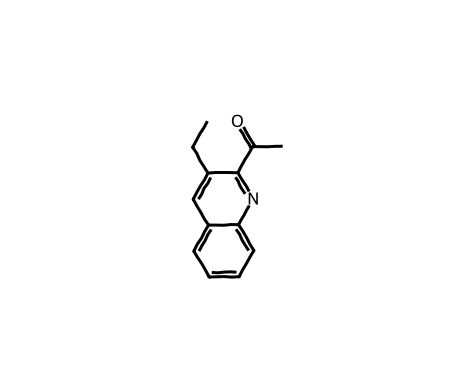 CCc1cc2ccccc2nc1C(C)=O